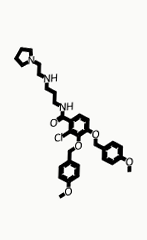 COc1ccc(COc2ccc(C(=O)NCCCNCCN3CCCC3)c(Cl)c2OCc2ccc(OC)cc2)cc1